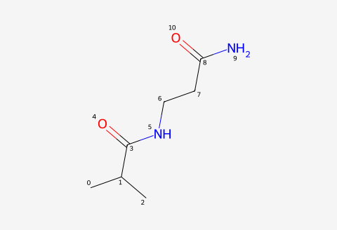 CC(C)C(=O)NCCC(N)=O